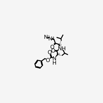 CC(C)C[C@H](NC(=O)[C@H](CC(C)C)NC(=O)OCc1ccccc1)C(=O)C=[N+]=[N-]